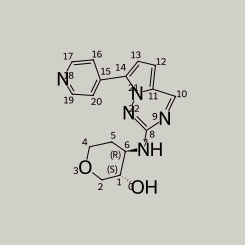 O[C@@H]1COCC[C@H]1Nc1ncc2ccc(-c3ccncc3)n2n1